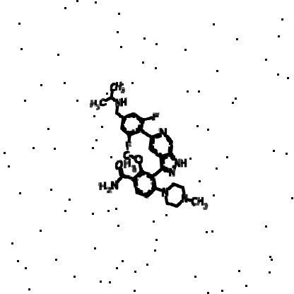 COc1c(C(N)=O)ccc(N2CCN(C)CC2)c1-c1n[nH]c2cnc(-c3c(F)cc(CNC(C)C)cc3F)cc12